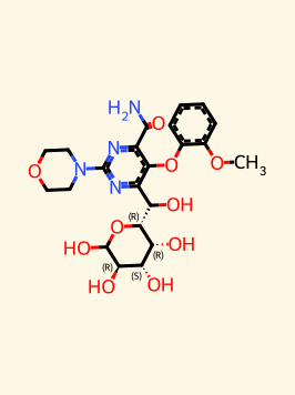 COc1ccccc1Oc1c(C(N)=O)nc(N2CCOCC2)nc1C(O)[C@H]1OC(O)[C@H](O)[C@@H](O)[C@H]1O